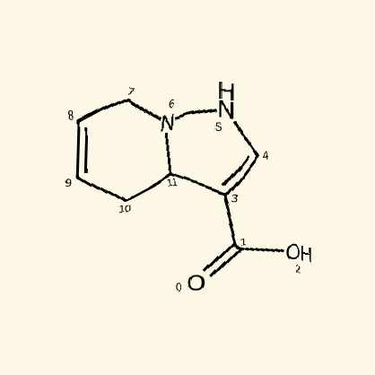 O=C(O)C1=CNN2CC=CCC12